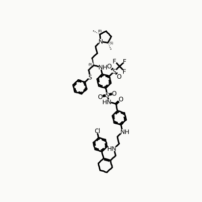 C[C@@H]1CC[C@H](C)N1CCC[C@H](CSc1ccccc1)Nc1ccc(S(=O)(=O)NC(=O)c2ccc(NCCNCC3=C(c4ccc(Cl)cc4)CCCC3)cc2)cc1S(=O)(=O)C(F)(F)F